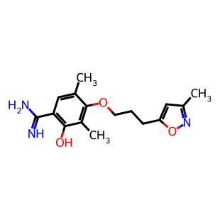 Cc1cc(CCCOc2c(C)cc(C(=N)N)c(O)c2C)on1